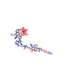 CC(N=[N+]=[N-])c1cc(NC(=O)COCCOCCN)ccc1C(=O)OCCCCC(=O)NCC#Cc1cn([C@H]2CC(OC(=O)c3ccccc3C(C)N=[N+]=[N-])[C@@H](COP(=O)(O)OP(=O)(O)OP(=O)(O)O)O2)c2ncnc(N)c12